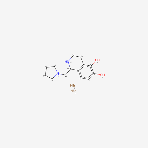 Br.Br.Oc1ccc2c(c1O)CCNC2CN1CCCC1